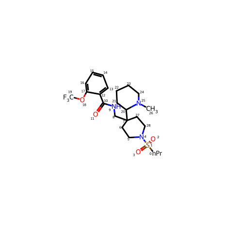 CCCS(=O)(=O)N1CCC(CNC(=O)c2ccccc2OC(F)(F)F)(C2CCCCN2C)CC1